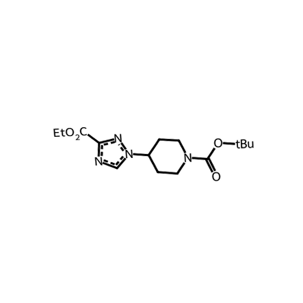 CCOC(=O)c1ncn(C2CCN(C(=O)OC(C)(C)C)CC2)n1